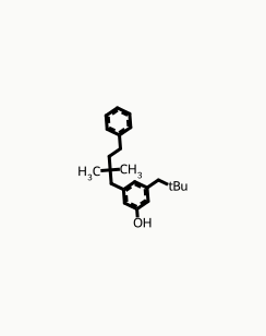 CC(C)(C)Cc1cc(O)cc(CC(C)(C)CCc2ccccc2)c1